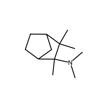 CN(C)C1(C)C2CCC(C2)C1(C)C